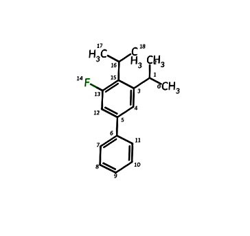 CC(C)c1cc(-c2ccccc2)cc(F)c1C(C)C